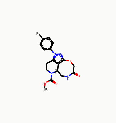 CC(C)c1ccc(-n2nc3c4c2CCN(C(=O)OC(C)(C)C)[C@H]4CNC(=O)CO3)cc1